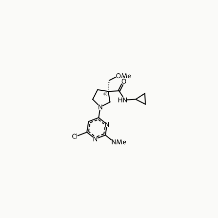 CNc1nc(Cl)cc(N2CC[C@@](COC)(C(=O)NC3CC3)C2)n1